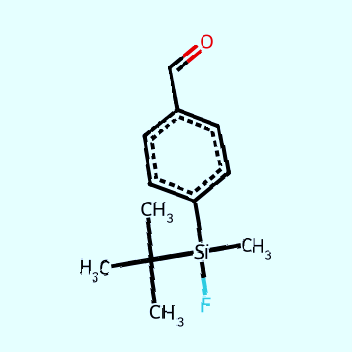 CC(C)(C)[Si](C)(F)c1ccc(C=O)cc1